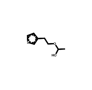 CC(O)OCCc1ccsc1